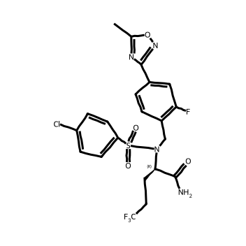 Cc1nc(-c2ccc(CN([C@H](CCC(F)(F)F)C(N)=O)S(=O)(=O)c3ccc(Cl)cc3)c(F)c2)no1